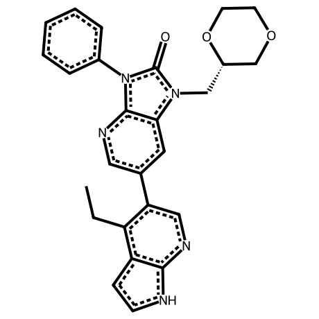 CCc1c(-c2cnc3c(c2)n(C[C@H]2COCCO2)c(=O)n3-c2ccccc2)cnc2[nH]ccc12